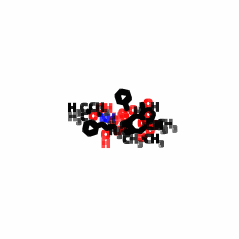 CO[C@H]1C(=O)[C@]2(C)[C@@H](OC)C[C@H]3OC[C@@]3(OC(C)=O)[C@H]2[C@H](OC(=O)c2ccccc2)[C@]2(O)C[C@H](OC(=O)[C@H](O)[C@@H](NC(O)OC(C)(C)C)c3ccccc3)C(C)=C1C2(C)C